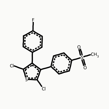 CS(=O)(=O)c1ccc(-c2c(Cl)sc(Cl)c2-c2ccc(F)cc2)cc1